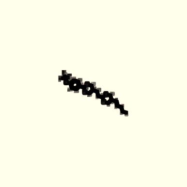 CCCC=CC1COC(CCC2COC(c3ccc(OC(F)(F)F)cc3)OC2)OC1